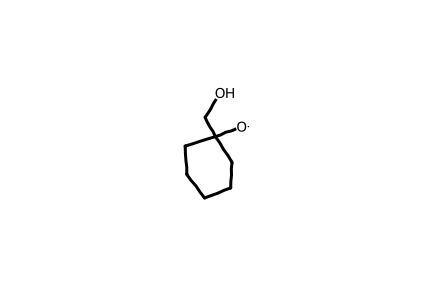 [O]C1(CO)CCCCC1